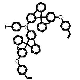 C=Cc1ccc(Oc2ccc(C3(c4ccccc4F)c4ccccc4-c4ccc(N(c5ccc(F)cc5)c5ccc6c(c5)C(c5ccc(Oc7ccc(C=C)cc7)cc5)(c5ccccc5F)c5ccccc5-6)cc43)cc2)cc1